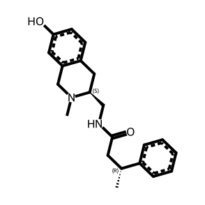 C[C@H](CC(=O)NC[C@@H]1Cc2ccc(O)cc2CN1C)c1ccccc1